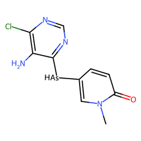 Cn1cc([AsH]c2ncnc(Cl)c2N)ccc1=O